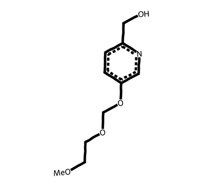 COCCOCOc1ccc(CO)nc1